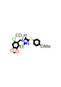 CCc1nc(Sc2ccc(OC)cc2)c(C(=O)O)n1Cc1cc2c(cc1Cl)OCO2